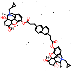 O=C(CCc1ccc2cc(CCC(=O)Oc3ccc4c5c3O[C@H]3C(=O)CC[C@@]6(O)[C@@H](C4)N(CC4CC4)CC[C@]536)ccc2c1)Oc1ccc2c3c1O[C@H]1C(=O)CC[C@@]4(O)[C@@H](C2)N(CC2CC2)CC[C@]314